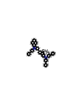 CC1(C)c2cc(-c3ccc4c5c6ccc7cccc8ccc(cc5n(-c5ccc(-c9ccccc9)cc5)c4c3)c6c87)ccc2-c2ccc(N(c3ccc(-c4ccccc4)cc3)c3ccc(-c4ccccc4)cc3)cc21